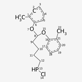 Cc1ccccc1OC(CCCCPCl)Oc1ccccc1C